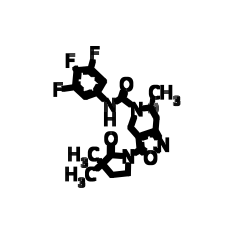 C[C@H]1Cc2noc(N3CCC(C)(C)C3=O)c2CN1C(=O)Nc1cc(F)c(F)c(F)c1